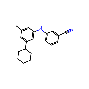 Cc1cc(Nc2cccc(C#N)c2)cc(C2CCCCC2)c1